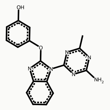 Cc1nc(N)nc(-n2c(Oc3cccc(O)c3)nc3ccccc32)n1